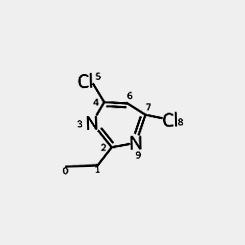 CCc1nc(Cl)cc(Cl)n1